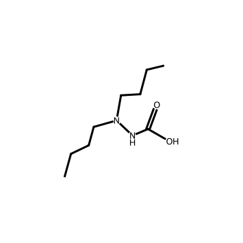 CCCCN(CCCC)NC(=O)O